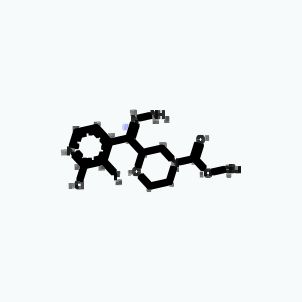 CC(C)(C)OC(=O)N1CCOC(/C(=N\N)c2ccnc(Cl)c2F)C1